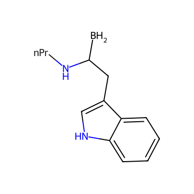 BC(Cc1c[nH]c2ccccc12)NCCC